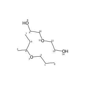 CCCOC(C)CC.OCCOCCO